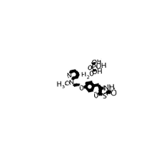 CN(CCOc1ccc(CC2NC(=O)SC2=O)cc1)c1ccccn1.O.O=P(O)(O)O